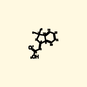 CC1(C)CC(=CC(=O)O)c2ccccc21